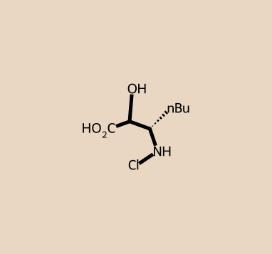 CCCC[C@H](NCl)C(O)C(=O)O